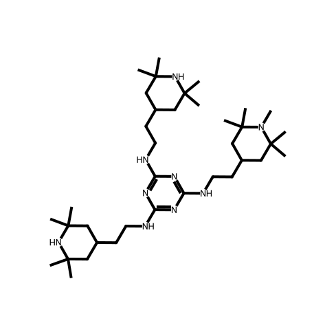 CN1C(C)(C)CC(CCNc2nc(NCCC3CC(C)(C)NC(C)(C)C3)nc(NCCC3CC(C)(C)NC(C)(C)C3)n2)CC1(C)C